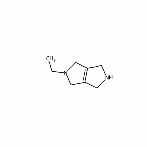 CCN1CC2=C(CNC2)C1